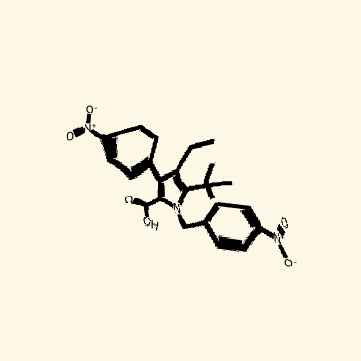 CCc1c(-c2ccc([N+](=O)[O-])cc2)c(C(=O)O)n(Cc2ccc([N+](=O)[O-])cc2)c1C(C)(C)C